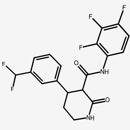 O=C1NCCC(c2cccc(C(F)F)c2)C1C(=O)Nc1ccc(F)c(F)c1F